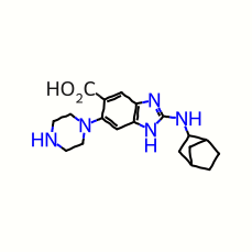 O=C(O)c1cc2nc(NC3CC4CCC3C4)[nH]c2cc1N1CCNCC1